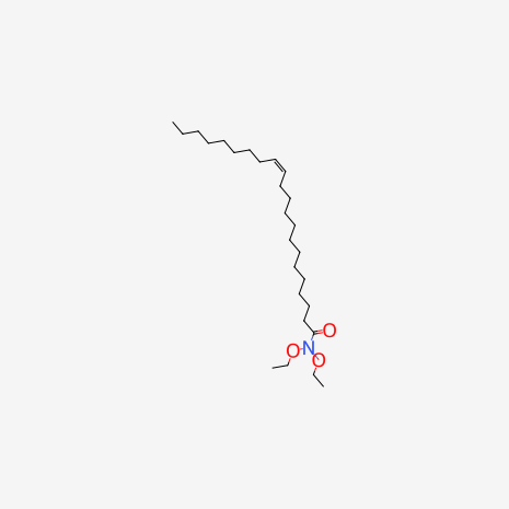 CCCCCCCC/C=C\CCCCCCCCCCCC(=O)N(OCC)OCC